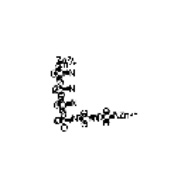 N#[C][Cr](=[O])(=[O])[O-].N#[C][Cr](=[O])(=[O])[O-].N#[C][Cr](=[O])(=[O])[O-].N#[C][Cr](=[O])(=[O])[O-].N#[C][Cr](=[O])(=[O])[O-].N#[C][Cr](=[O])(=[O])[O-].[Zn+2].[Zn+2].[Zn+2]